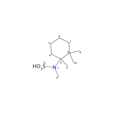 CN(C1(C)CCCCC1(C)C)S(=O)(=O)O